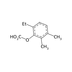 CCc1ccc(C)c(C)c1OC(=O)O